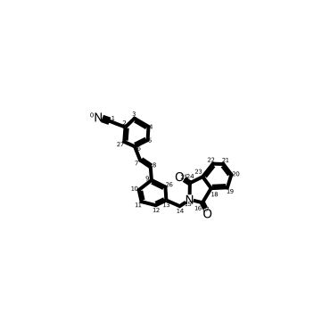 N#Cc1cccc(C=Cc2cccc(CN3C(=O)c4ccccc4C3=O)c2)c1